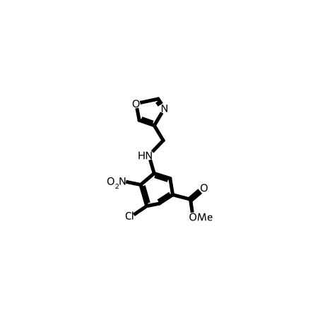 COC(=O)c1cc(Cl)c([N+](=O)[O-])c(NCc2cocn2)c1